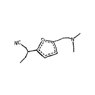 CC(C#N)c1ccc(CN(C)C)o1